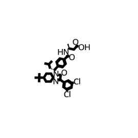 CC(C)C[C@H](c1ccc(C(=O)N[C@@H](C)CC(=O)O)cc1)N1C(=O)C(c2cc(Cl)cc(Cl)c2)=NC12CCC(C(C)(C)C)CC2